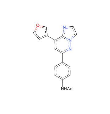 CC(=O)Nc1ccc(-c2cc(-c3ccoc3)c3nccn3n2)cc1